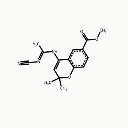 COC(=O)c1ccc2c(c1)C(NC(C)=NC#N)=CC(C)(C)O2